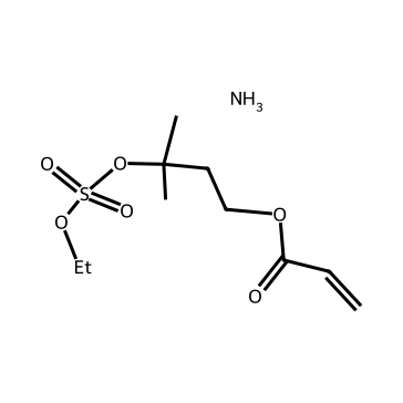 C=CC(=O)OCCC(C)(C)OS(=O)(=O)OCC.N